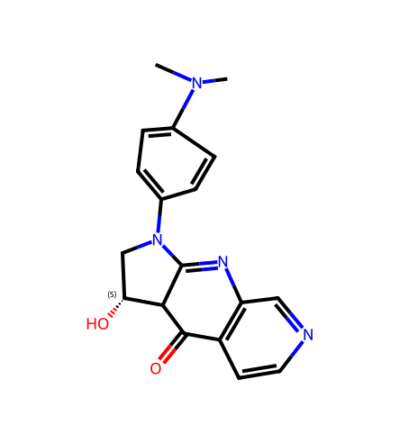 CN(C)c1ccc(N2C[C@@H](O)C3C(=O)c4ccncc4N=C32)cc1